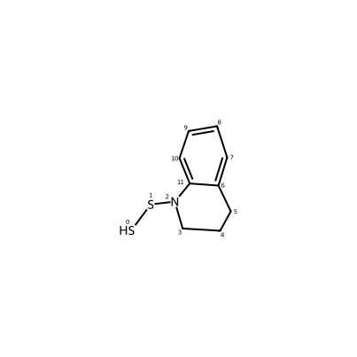 SSN1CCCc2ccccc21